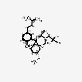 CO[C@@H]1CCC2C3(C1)OCN(CC(F)(F)F)C(N)=NC23c1cc(CCC(C)C)ccc1O